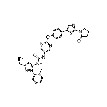 Cc1ccccc1-n1nc(CC(C)C)cc1NC(=O)Nc1cnc(Oc2ccc(-c3cnc(N4CCCC4=O)s3)cc2)nc1